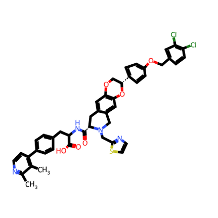 Cc1nccc(-c2ccc(CC(NC(=O)[C@@H]3Cc4cc5c(cc4CN3Cc3nccs3)O[C@@H](c3ccc(OCc4ccc(Cl)c(Cl)c4)cc3)CO5)C(=O)O)cc2)c1C